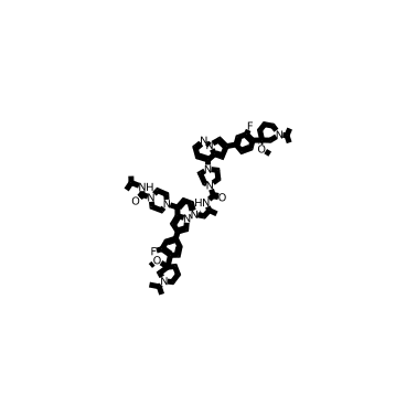 COC1(c2ccc(-c3cc4c(N5CCN(C(=O)NC(C)C)CC5)cc[n+](CC(C)NC(=O)N5CCN(c6ccnn7cc(-c8ccc([C@@]9(OC)CCCN(C(C)C)C9)c(F)c8)cc67)CC5)n4c3)cc2F)CCCN(C(C)C)C1